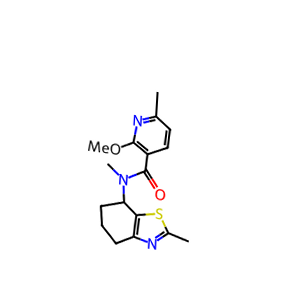 COc1nc(C)ccc1C(=O)N(C)C1CCCc2nc(C)sc21